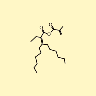 C=C(C)C(=O)OC(=O)C(CC)=C(CCCCCC)CCCCCC